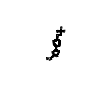 Nc1nnc(-c2ccc(OCC(F)(F)F)cc2)o1